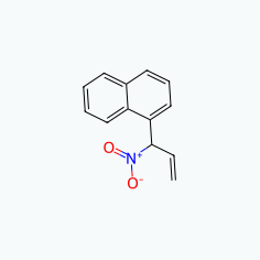 C=CC(c1cccc2ccccc12)[N+](=O)[O-]